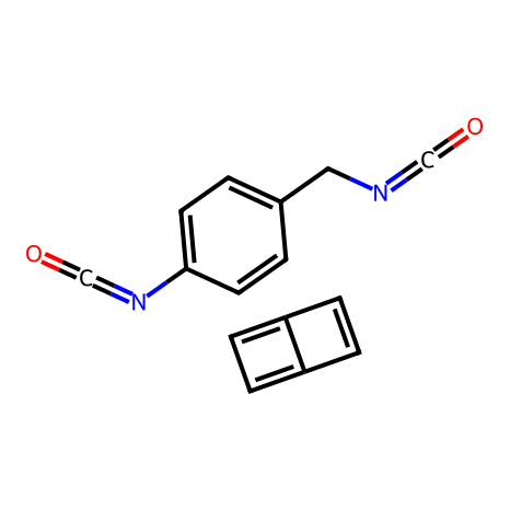 O=C=NCc1ccc(N=C=O)cc1.c1cc2ccc1-2